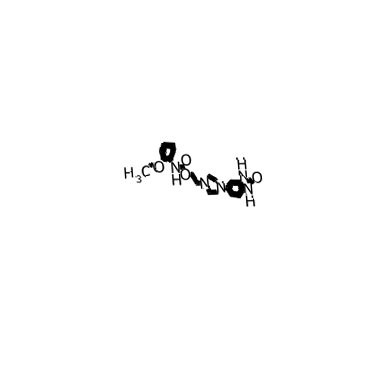 CCOc1ccccc1NC(=O)OCCN1CCN(c2ccc3[nH]c(=O)[nH]c3c2)CC1